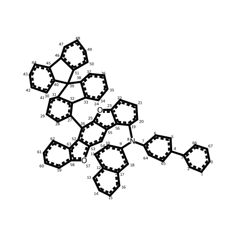 c1ccc(-c2ccc(N(c3ccc4ccccc4c3)c3cccc4oc5c(-c6cccc7c6-c6ccccc6C76c7ccccc7-c7ccccc76)c6c(cc5c34)oc3ccccc36)cc2)cc1